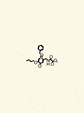 CCCCOc1cn(OCc2ccccc2)c(CNC(=O)C(=O)OC)cc1=O